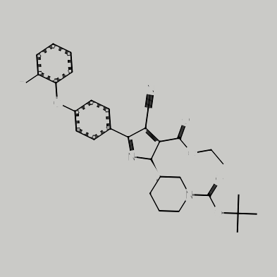 CCOC(=O)C1=C(C#N)C(c2ccc(Oc3ccccc3F)cc2)=NC1[C@@H]1CCCN(C(=O)OC(C)(C)C)C1